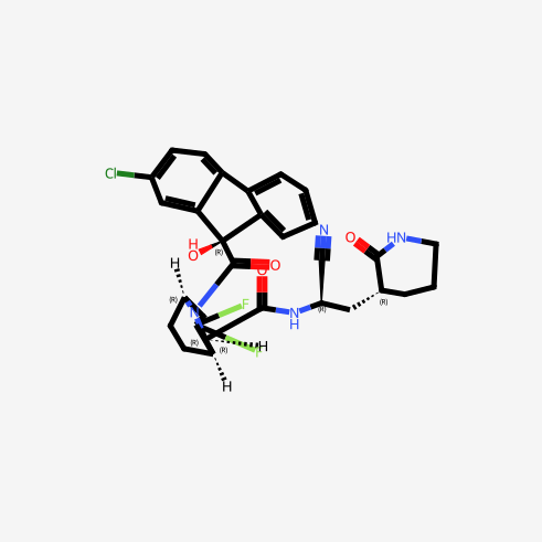 N#C[C@@H](C[C@H]1CCCNC1=O)NC(=O)[C@H]1[C@H]2CC[C@H](CC2(F)F)N1C(=O)[C@@]1(O)c2ccccc2-c2ccc(Cl)cc21